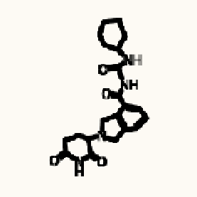 O=C1CCC(N2Cc3cccc(C(=O)NC(=O)NC4CCCCC4)c3C2)C(=O)N1